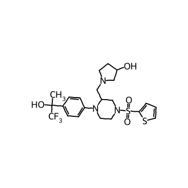 CC(O)(c1ccc(N2CCN(S(=O)(=O)c3cccs3)CC2CN2CCC(O)C2)cc1)C(F)(F)F